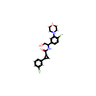 O=C(NC(CO)c1ccc(F)c(N2CCOCC2)c1)C1CC1c1cccc(Cl)c1